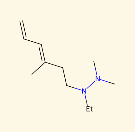 C=C/C=C(\C)CCN(CC)N(C)C